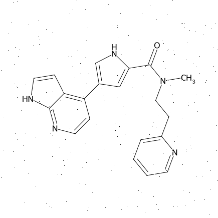 CN(CCc1ccccn1)C(=O)c1cc(-c2ccnc3[nH]ccc23)c[nH]1